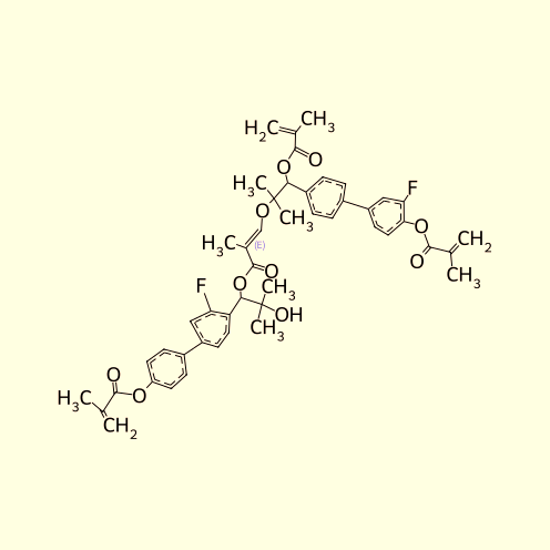 C=C(C)C(=O)Oc1ccc(-c2ccc(C(OC(=O)/C(C)=C/OC(C)(C)C(OC(=O)C(=C)C)c3ccc(-c4ccc(OC(=O)C(=C)C)c(F)c4)cc3)C(C)(C)O)c(F)c2)cc1